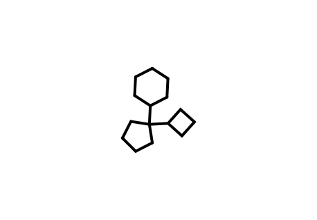 C1CCC(C2(C3CCC3)CCCC2)CC1